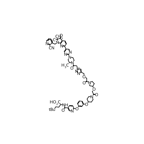 C[C@@H]1CN(c2ncc(-c3ccc4c(n3)N(Cc3cccnc3C#N)C(C)(C)C4=O)cn2)CCN1C(=O)Cn1cc(COCC(=O)N2CCC(OCC(=O)N3CCC(Oc4cccc(Oc5ccc(C(=O)N[C@@H](CCC(C)(C)C)C(=O)O)cn5)c4)CC3)C2)nn1